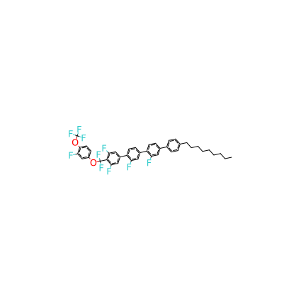 CCCCCCCCCc1ccc(-c2ccc(-c3ccc(-c4cc(F)c(C(F)(F)Oc5ccc(OC(F)(F)F)c(F)c5)c(F)c4)c(F)c3)c(F)c2)cc1